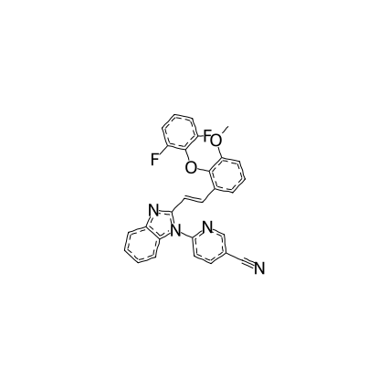 COc1cccc(/C=C/c2nc3ccccc3n2-c2ccc(C#N)cn2)c1Oc1c(F)cccc1F